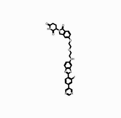 O=C1CCC(N2Cc3cc(OCCOCCNc4ccc5nc(-c6ccc(-c7cncnc7)cc6F)sc5c4)ccc3C2=O)C(=O)N1